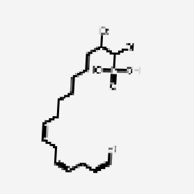 CC/C=C\C/C=C\C/C=C\CCCCCCC(CC)C(O)P(=O)(O)O